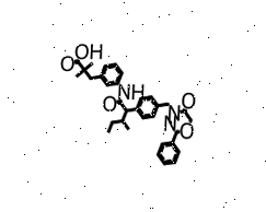 CCC(C)C(C(=O)Nc1cccc(CC(C)(C)C(=O)O)c1)c1ccc(CN2N=C(c3ccccc3)OCC2=O)cc1